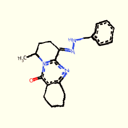 CC1CC/C(=N\Nc2ccccc2)c2nc3c(c(=O)n21)CCCC3